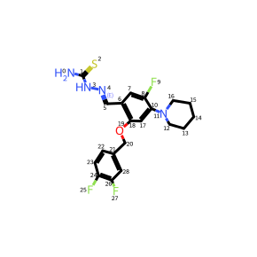 NC(=S)N/N=C/c1cc(F)c(N2CCCCC2)cc1OCc1ccc(F)c(F)c1